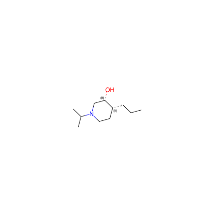 CCC[C@@H]1CCN(C(C)C)C[C@@H]1O